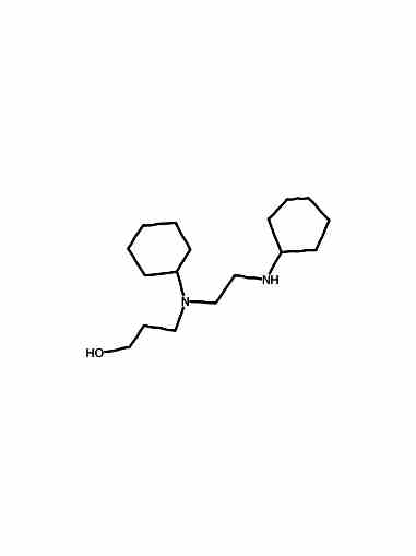 OCCCN(CCNC1CCCCC1)C1CCCCC1